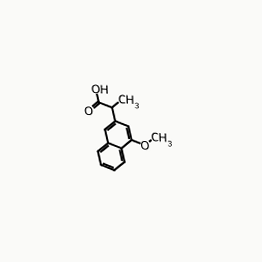 COc1cc(C(C)C(=O)O)cc2ccccc12